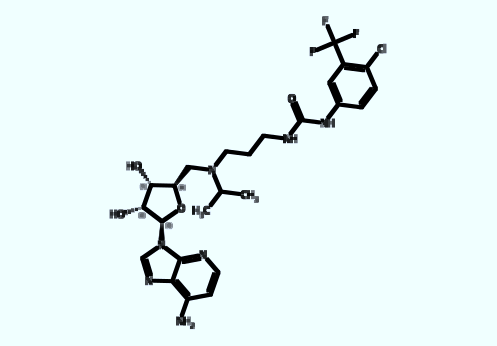 CC(C)N(CCCNC(=O)Nc1ccc(Cl)c(C(F)(F)F)c1)C[C@H]1O[C@@H](n2cnc3c(N)ccnc32)[C@H](O)[C@@H]1O